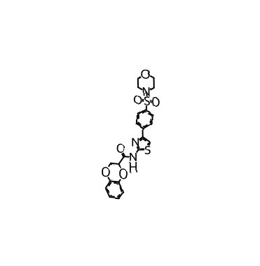 O=C(Nc1nc(-c2ccc(S(=O)(=O)N3CCOCC3)cc2)cs1)C1COc2ccccc2O1